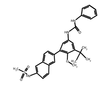 COc1c(-c2ccc3cc(NS(C)(=O)=O)ccc3c2)cc(NC(=O)Nc2ccccc2)cc1C(C)(C)C